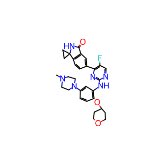 CN1CCN(c2ccc(OC3CCOCC3)c(Nc3ncc(F)c(-c4ccc5c(c4)C(=O)NC54CC4)n3)c2)CC1